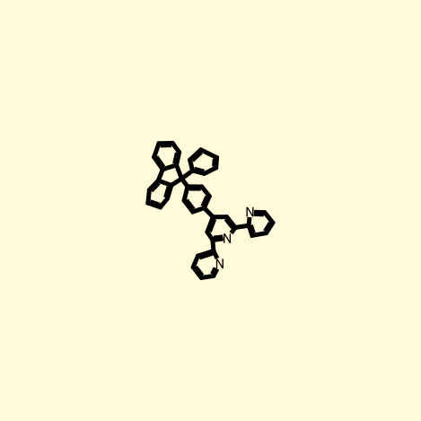 c1ccc(C2(c3ccc(-c4cc(-c5ccccn5)nc(-c5ccccn5)c4)cc3)c3ccccc3-c3ccccc32)cc1